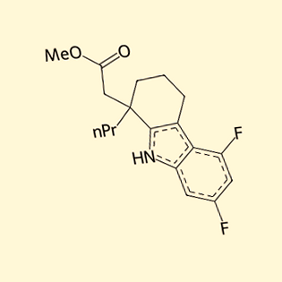 CCCC1(CC(=O)OC)CCCc2c1[nH]c1cc(F)cc(F)c21